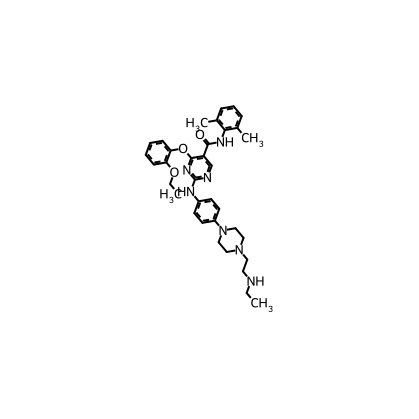 CCNCCN1CCN(c2ccc(Nc3ncc(C(=O)Nc4c(C)cccc4C)c(Oc4ccccc4OCC)n3)cc2)CC1